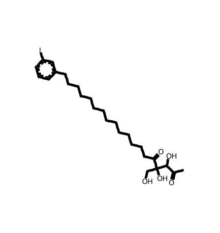 CC(=O)C(O)C(O)(CO)C(=O)CCCCCCCCCCCCCCc1cccc(I)c1